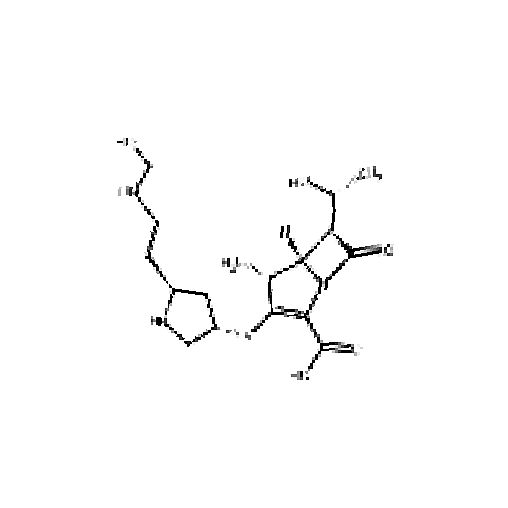 C[C@@H](O)[C@H]1C(=O)N2C(C(=O)O)=C(S[C@@H]3CN[C@@H](CCNCO)C3)[C@H](C)[C@H]12